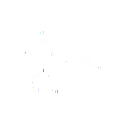 C#CCON=C(C)C(CN)CN.Cl.Cl